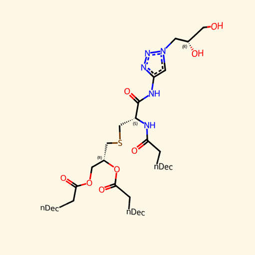 CCCCCCCCCCCC(=O)N[C@H](CSC[C@@H](COC(=O)CCCCCCCCCCC)OC(=O)CCCCCCCCCCC)C(=O)Nc1cn(C[C@@H](O)CO)nn1